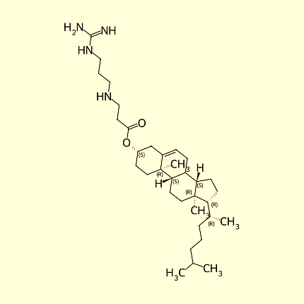 CC(C)CCC[C@@H](C)[C@H]1CC[C@H]2C3CC=C4C[C@@H](OC(=O)CCNCCCNC(=N)N)CC[C@]4(C)[C@H]3CC[C@]12C